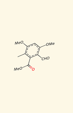 COC(=O)c1c(C)c(OC)cc(OC)c1C=O